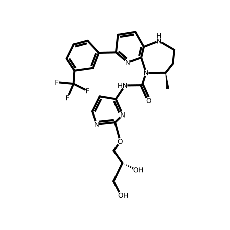 C[C@@H]1CCNc2ccc(-c3cccc(C(F)(F)F)c3)nc2N1C(=O)Nc1ccnc(OC[C@H](O)CO)n1